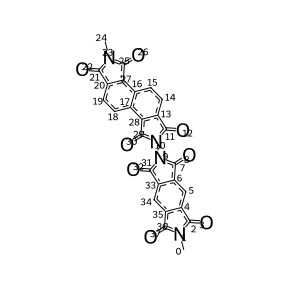 Cn1c(=O)c2cc3c(=O)n(-n4c(=O)c5ccc6c(ccc7c(=O)n(C)c(=O)c76)c5c4=O)c(=O)c3cc2c1=O